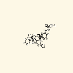 CC(C)N(c1ccc(Cl)cc1Oc1cccc(C=CC(=O)O)c1)S(=O)(=O)c1ccccc1